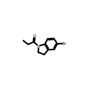 CCC(=O)N1CCc2cc(Br)ccc21